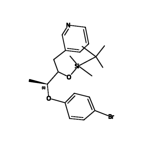 C[C@H](Oc1ccc(Br)cc1)C(Cc1cccnc1)O[Si](C)(C)C(C)(C)C